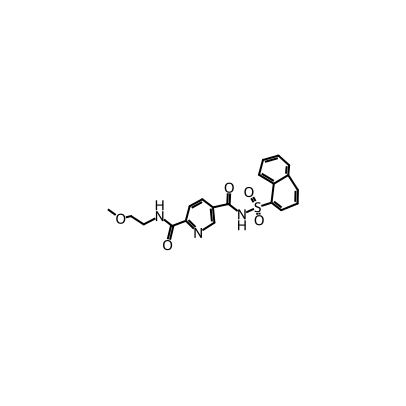 COCCNC(=O)c1ccc(C(=O)NS(=O)(=O)c2cccc3ccccc23)cn1